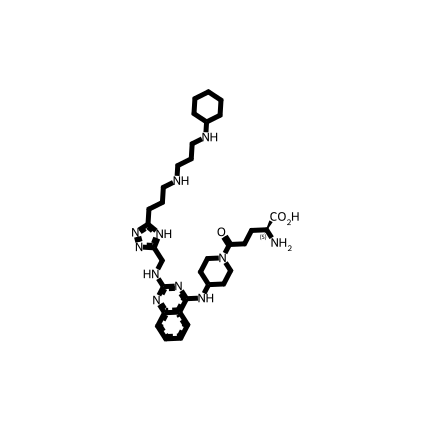 N[C@@H](CCC(=O)N1CCC(Nc2nc(NCc3nnc(CCCNCCCNC4CCCCC4)[nH]3)nc3ccccc23)CC1)C(=O)O